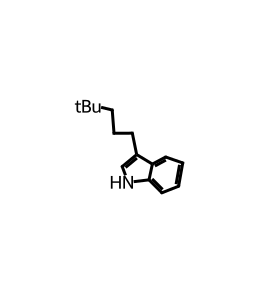 CC(C)(C)CCCc1c[nH]c2ccccc12